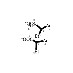 CCC(C(C)=O)C(=O)[O-].CCC(C(C)=O)C(=O)[O-].[Pd+2]